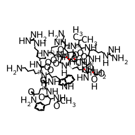 CSCCC(NC(=O)[C@H](CC(N)=O)NC(=O)C(CCCNC(=N)N)NC(=O)[C@H](CCCCN)NC(=O)C(Cc1c[nH]c2ccccc12)NC(=O)[C@H](CCC(N)=O)NC(=O)C(Cc1ccccc1)NC(C)=O)C(=O)N[C@@H](CCCNC(=N)N)C(=O)NC(CCCCN)C(=O)N[C@H](C(=O)NC(CCCNC(=N)N)C(=O)N[C@@H](CCC(=O)O)C(N)=O)C(C)C